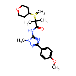 C=S(C1CCOCC1)C(C)(C)C(=O)Nc1nc(-c2ccc(OC)cc2)nn1C